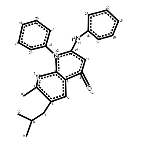 Cc1nc2c(cc1CC(C)C)c(=O)cc(Nc1ccccc1)n2-c1ccccc1